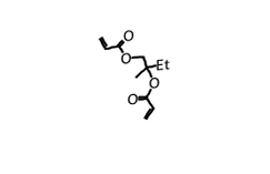 C=CC(=O)OCC(C)(CC)OC(=O)C=C